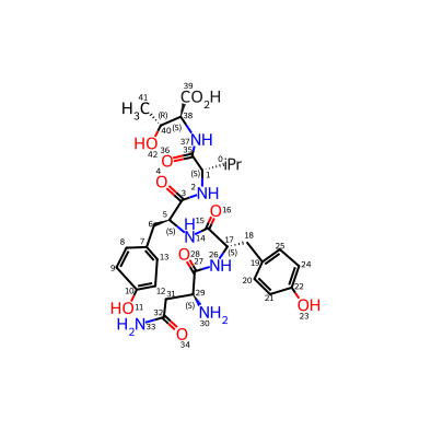 CC(C)[C@H](NC(=O)[C@H](Cc1ccc(O)cc1)NC(=O)[C@H](Cc1ccc(O)cc1)NC(=O)[C@@H](N)CC(N)=O)C(=O)N[C@H](C(=O)O)[C@@H](C)O